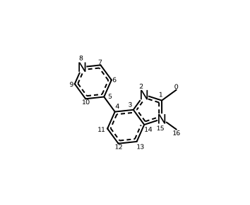 Cc1nc2c(-c3ccncc3)cccc2n1C